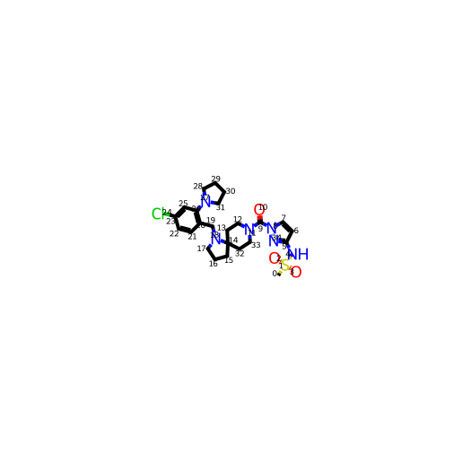 CS(=O)(=O)Nc1ccn(C(=O)N2CCC3(CCCN3Cc3ccc(Cl)cc3N3CCCC3)CC2)n1